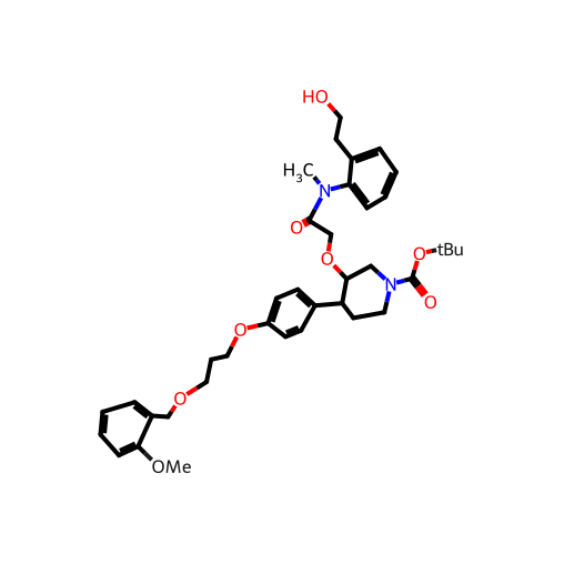 COc1ccccc1COCCCOc1ccc(C2CCN(C(=O)OC(C)(C)C)CC2OCC(=O)N(C)c2ccccc2CCO)cc1